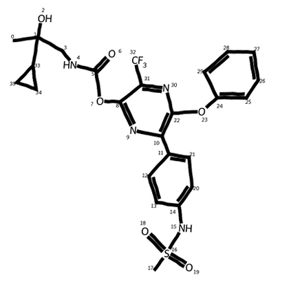 CC(O)(CNC(=O)Oc1nc(-c2ccc(NS(C)(=O)=O)cc2)c(Oc2ccccc2)nc1C(F)(F)F)C1CC1